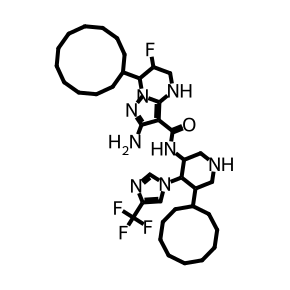 Nc1nn2c(c1C(=O)NC1CNCC(C3CCCCCCCCC3)C1n1cnc(C(F)(F)F)c1)NCC(F)C2C1CCCCCCCCCCC1